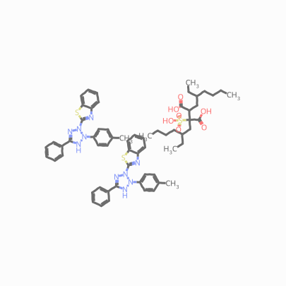 CCCCC(CC)CC(C(=O)O)C(CC(CC)CCCC)(C(=O)O)S(=O)(=O)O.Cc1ccc(N2NC(c3ccccc3)=NN2c2nc3ccccc3s2)cc1.Cc1ccc(N2NC(c3ccccc3)=NN2c2nc3ccccc3s2)cc1